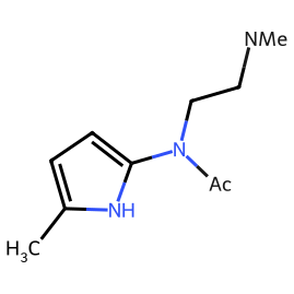 CNCCN(C(C)=O)c1ccc(C)[nH]1